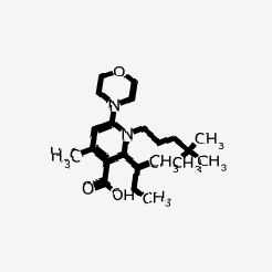 CCC(C)C1C(C(=O)O)=C(C)C=C(N2CCOCC2)N1CCCC(C)(C)C